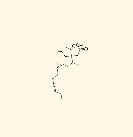 CCC=C=CC/C=C\CC(C)C(CCC)(CC(=O)O)C(C)=O